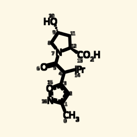 Cc1cc(C(C(=O)N2C[C@H](O)C[C@H]2C(=O)O)C(C)C)on1